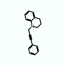 C(#Cc1ccccc1)CN1CCCc2ccccc21